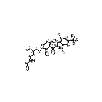 CCC(CCNC=O)CCc1ccc(Cl)c(C(=O)c2cc3c(C)cc(C(F)(F)F)cc3n2C)c1Cl